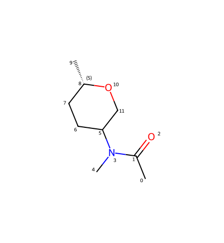 CC(=O)N(C)C1CC[C@H](C)OC1